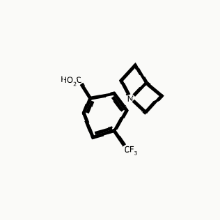 C1CN2CCC12.O=C(O)c1ccc(C(F)(F)F)cc1